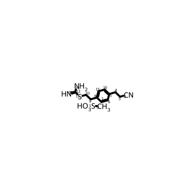 CS(=O)(=O)O.N#CCCc1ccc(CCSC(=N)N)cc1